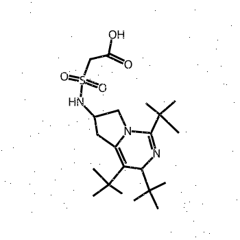 CC(C)(C)C1=NC(C(C)(C)C)C(C(C)(C)C)=C2CC(NS(=O)(=O)CC(=O)O)CN12